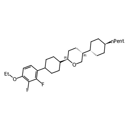 CCCCC[C@H]1CC[C@H]([C@H]2CC[C@H](C3CCC(c4ccc(OCC)c(F)c4F)CC3)OC2)CC1